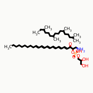 CCC(C)CCCC(C)CCCC(C)CCCC(C)C.CCCCCCCCCC=CC=CC=CC=CC=CC=CC(=O)C(CN)OP(=O)(O)OCC(O)CO